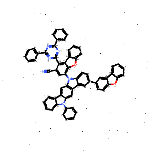 N#Cc1cc(-n2c3ccc(-c4ccc5oc6ccccc6c5c4)cc3c3cc4c(cc32)c2ccccc2n4-c2ccccc2)c2oc3ccccc3c2c1-c1nc(-c2ccccc2)nc(-c2ccccc2)n1